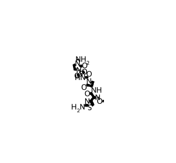 CON=C(C(=O)NC1CN(C(=O)NS(=O)(=O)N2CCN(N)C2=O)C1=O)c1csc(N)n1